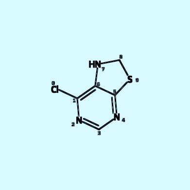 Clc1ncnc2c1NCS2